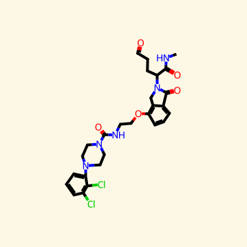 CNC(=O)C(CCC=O)N1Cc2c(OCCNC(=O)N3CCN(c4cccc(Cl)c4Cl)CC3)cccc2C1=O